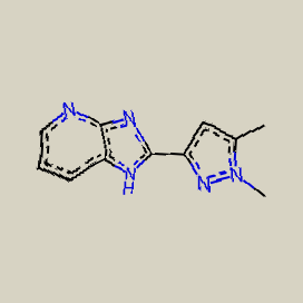 Cc1cc(-c2nc3ncccc3[nH]2)nn1C